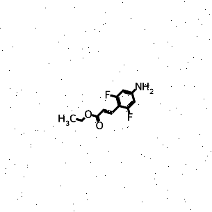 CCOC(=O)/C=C/c1c(F)cc(N)cc1F